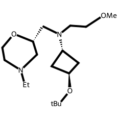 CCN1CCO[C@H](CN(CCOC)[C@H]2C[C@H](OC(C)(C)C)C2)C1